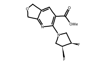 COC(=O)c1cc2c(nc1N1C[C@@H](F)[C@@H](F)C1)COC2